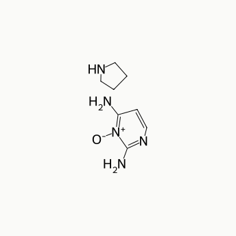 C1CCNC1.Nc1ccnc(N)[n+]1[O-]